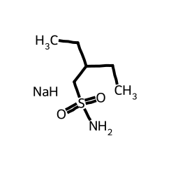 CCC(CC)CS(N)(=O)=O.[NaH]